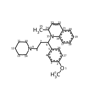 COc1ccc(C(CCN2CCCCC2)N2c3ccccc3C=CC2C)cc1